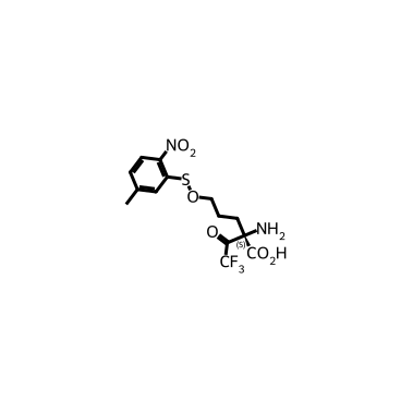 Cc1ccc([N+](=O)[O-])c(SOCCC[C@@](N)(C(=O)O)C(=O)C(F)(F)F)c1